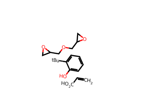 C(OCC1CO1)C1CO1.C=CC(=O)O.CC(C)(C)c1ccccc1O